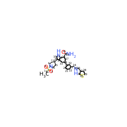 CCS(=O)(=O)N1CCC(c2c[nH]c3c(C(N)=O)cc(-c4cccc(CNCc5ccsc5)c4)cc23)CC1